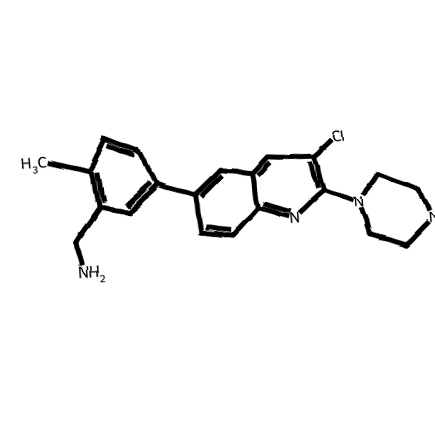 Cc1ccc(-c2ccc3nc(N4CCNCC4)c(Cl)cc3c2)cc1CN